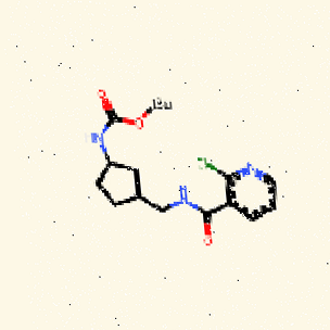 CC(C)(C)OC(=O)NC1CCC(CNC(=O)c2cccnc2Cl)C1